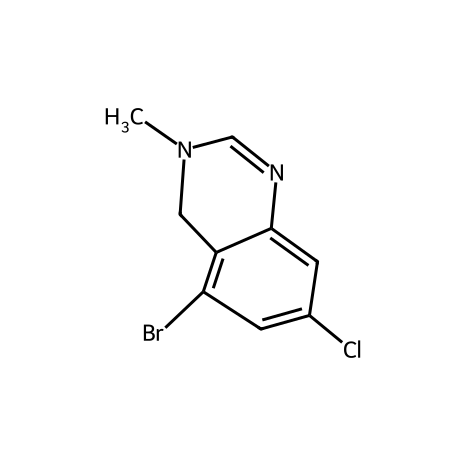 CN1C=Nc2cc(Cl)cc(Br)c2C1